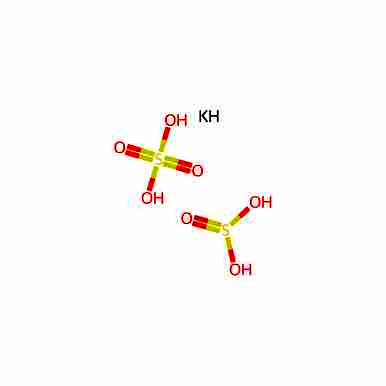 O=S(=O)(O)O.O=S(O)O.[KH]